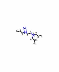 CCCNCCN(CCC)CCC